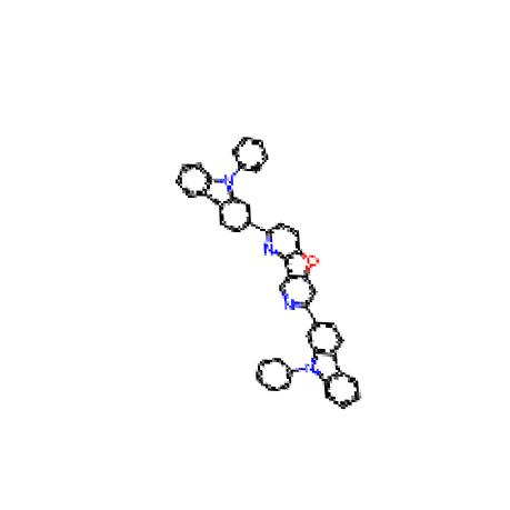 c1ccc(-n2c3ccccc3c3ccc(-c4cc5oc6ccc(-c7ccc8c9ccccc9n(-c9ccccc9)c8c7)nc6c5cn4)cc32)cc1